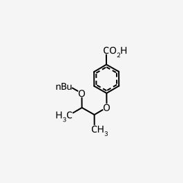 CCCCOC(C)C(C)Oc1ccc(C(=O)O)cc1